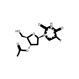 CC(=O)O[C@H]1C[C@H](n2cc(F)c(=O)[nH]c2=O)O[C@@H]1CO